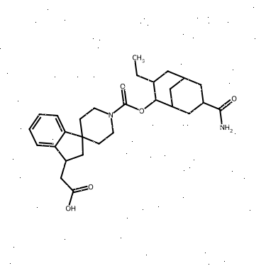 CCC1CC2CC(C(N)=O)CC(C2)C1OC(=O)N1CCC2(CC1)CC(CC(=O)O)c1ccccc12